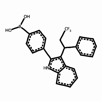 OB(O)c1ccc(-c2[nH]c3ccccc3c2C(CC(F)(F)F)c2ccccc2)cc1